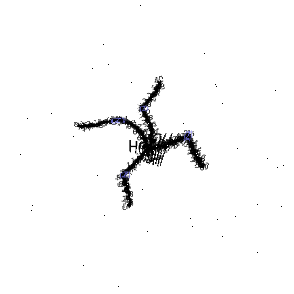 CCCCCCCC/C=C\CCCCCCCCC(O)C(C(O)CCCCCCCC/C=C\CCCCCCCC)(C(O)CCCCCCCC/C=C\CCCCCCCC)C(O)CCCCCCCC/C=C\CCCCCCCC